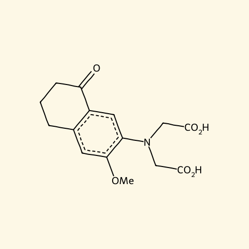 COc1cc2c(cc1N(CC(=O)O)CC(=O)O)C(=O)CCC2